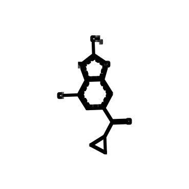 Cc1nc2c(Cl)cc(C(=O)C3CC3)cc2o1